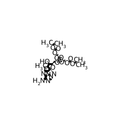 CC(C)OC(=O)OCOP(=O)(OCOC(=O)OC(C)C)OC[C@H]1O[C@@](C#N)(c2cnc3c(N)ncnn23)[C@](C)(F)[C@@H]1O